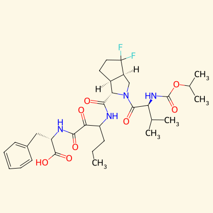 CCCC(NC(=O)[C@@H]1[C@H]2CCC(F)(F)[C@H]2CN1C(=O)[C@@H](NC(=O)OC(C)C)C(C)C)C(=O)C(=O)N[C@@H](Cc1ccccc1)C(=O)O